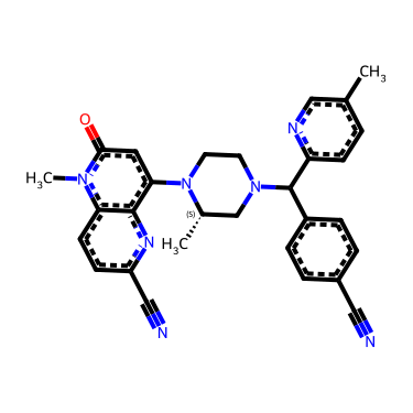 Cc1ccc(C(c2ccc(C#N)cc2)N2CCN(c3cc(=O)n(C)c4ccc(C#N)nc34)[C@@H](C)C2)nc1